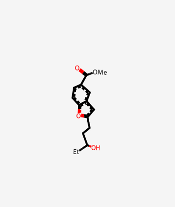 CCC(O)CCc1cc2cc(C(=O)OC)ccc2o1